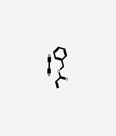 C=CC(=O)OCc1ccccc1.N#CC#N